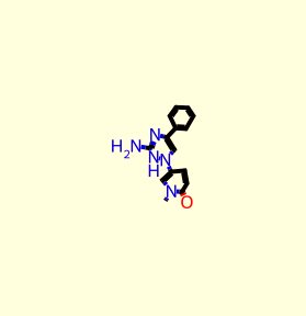 Cn1cc(N2C=C(c3ccccc3)N=C(N)N2)ccc1=O